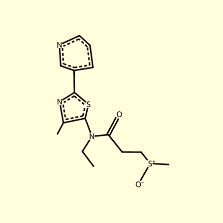 CCN(C(=O)CC[S+](C)[O-])c1sc(-c2cccnc2)nc1C